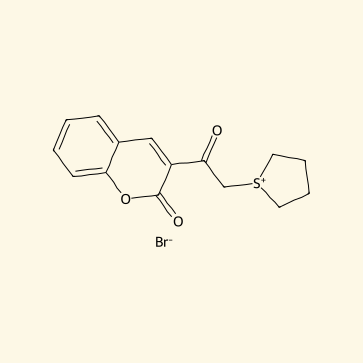 O=C(C[S+]1CCCC1)c1cc2ccccc2oc1=O.[Br-]